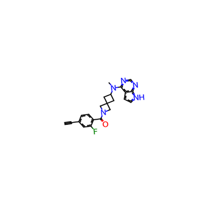 C#Cc1ccc(C(=O)N2CC3(CC(N(C)c4ncnc5[nH]ccc45)C3)C2)c(F)c1